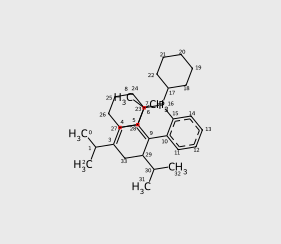 CC(C)C1=CC(C(C)C)=C(c2ccccc2P(C2CCCCC2)C2CCCCC2)C(C(C)C)C1